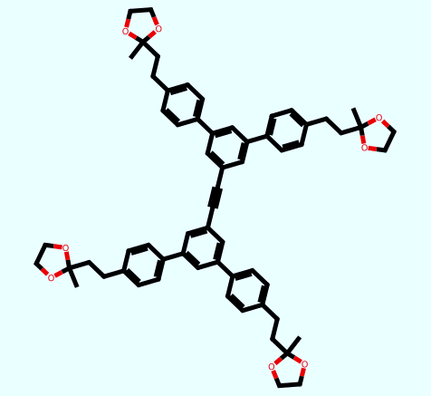 CC1(CCc2ccc(-c3cc(C#Cc4cc(-c5ccc(CCC6(C)OCCO6)cc5)cc(-c5ccc(CCC6(C)OCCO6)cc5)c4)cc(-c4ccc(CCC5(C)OCCO5)cc4)c3)cc2)OCCO1